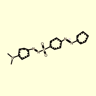 CN(C)c1ccc(N=NS(=O)(=O)c2ccc(/N=N/c3ccccc3)cc2)cc1